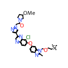 COC1CCN(C(=O)Cn2cc(-c3cnc4ccc(Oc5ccc6nc(C)n(COCC[Si](C)(C)C)c6c5)c(Cl)c4n3)cn2)C1